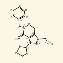 CCc1nn(C2CCCC2)c2c1CCN(Cc1ccccc1)C2=O